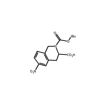 CC(C)(C)OC(=O)N1Cc2ccc([N+](=O)[O-])cc2CC1C(=O)O